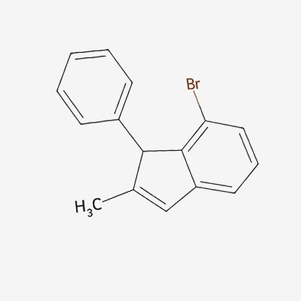 CC1=Cc2cccc(Br)c2C1c1ccccc1